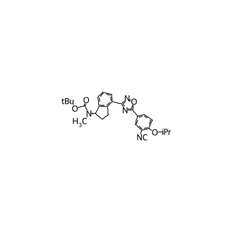 [C-]#[N+]c1cc(-c2nc(-c3cccc4c3CC[C@H]4N(C)C(=O)OC(C)(C)C)no2)ccc1OC(C)C